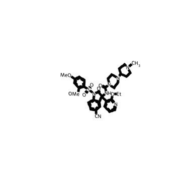 CCOc1ncccc1C1(NC(=O)N2CCN(C3CCN(C)CC3)CC2)C(=O)N(S(=O)(=O)c2ccc(OC)cc2OC)c2ccc(C#N)cc21